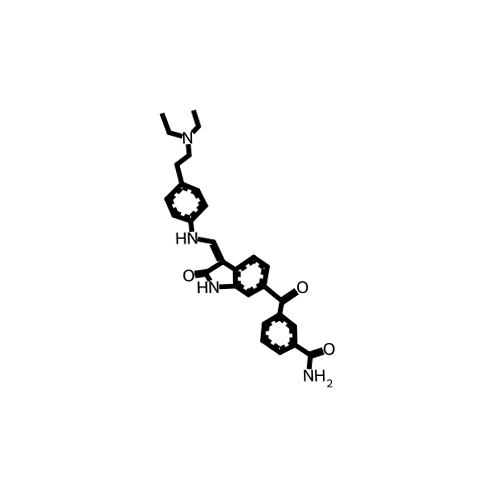 CCN(CC)CCc1ccc(N/C=C2\C(=O)Nc3cc(C(=O)c4cccc(C(N)=O)c4)ccc32)cc1